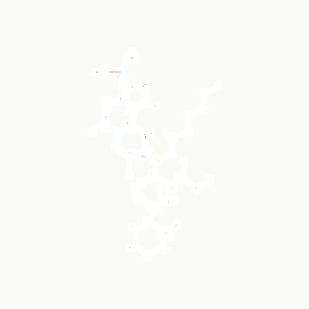 CCCCCOCN(C(=O)[C@@H](NC(=O)C1CCCCN1C)C(C)CC)[C@H](C[C@@H](OC(C)=O)c1nc(C(=O)O)cs1)C(C)C